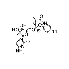 C[C@H](NP(=O)(OC[C@H]1O[C@@H](n2ccc(N)nc2=O)[C@](C)(O)[C@@H]1O)Oc1ccc(Cl)cc1)C(=O)O